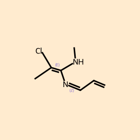 C=C/C=N\C(NC)=C(/C)Cl